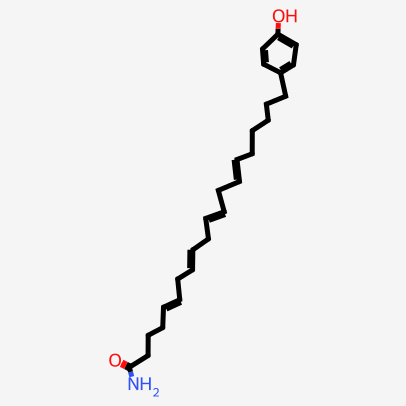 NC(=O)CCCC=CCC=CCC=CCC=CCCCCCc1ccc(O)cc1